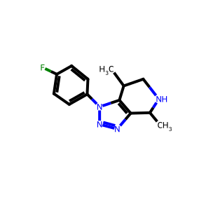 CC1CNC(C)c2nnn(-c3ccc(F)cc3)c21